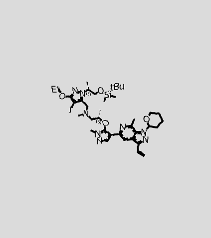 C=Cc1nn(C2CCCCO2)c2c(C)nc(-c3cnn(C)c3O[C@@H](C)CN(C)Cc3c(I)c(OCC)nn3[C@@H](C)CO[Si](C)(C)C(C)(C)C)cc12